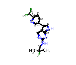 CC(C)(F)CNc1ncc2c(-c3ccc(C(F)F)nc3)c[nH]c2n1